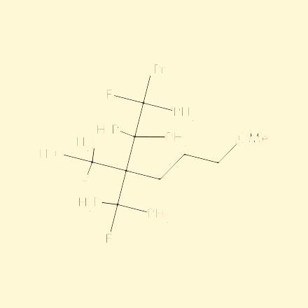 COCCCC(C(C)(F)P)(C(F)(P)P)C(P)(P)C(F)(P)C(C)C